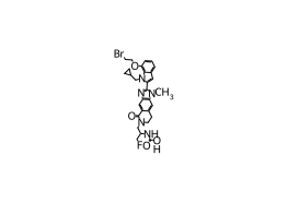 Cn1c(-c2cc3cccc(OCCBr)c3n2CC2CC2)nc2cc3c(cc21)CCN(CC(CF)NC(=O)O)C3=O